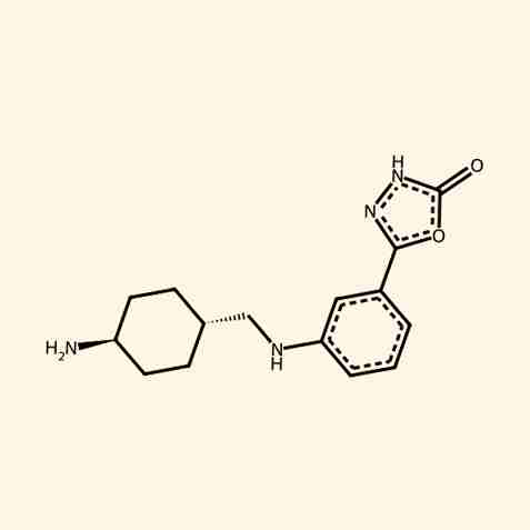 N[C@H]1CC[C@H](CNc2cccc(-c3n[nH]c(=O)o3)c2)CC1